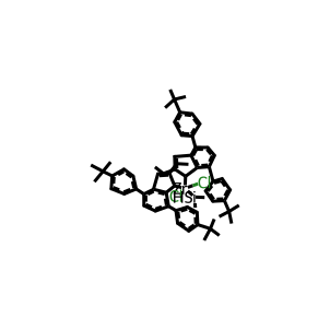 CCC1=Cc2c(-c3ccc(C(C)(C)C)cc3)ccc(-c3ccc(C(C)(C)C)cc3)c2[CH]1[Zr]([Cl])([Cl])([CH]1C(CC)=Cc2c(-c3ccc(C(C)(C)C)cc3)ccc(-c3ccc(C(C)(C)C)cc3)c21)[SiH](C)C